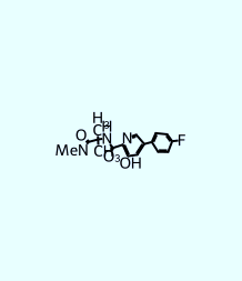 CNC(=O)C(C)(C)NC(=O)c1ncc(-c2ccc(F)cc2)cc1O